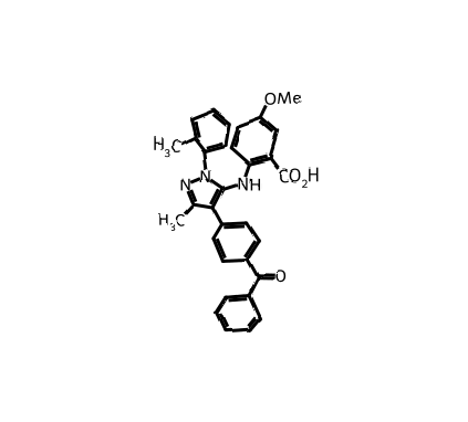 COc1ccc(Nc2c(-c3ccc(C(=O)c4ccccc4)cc3)c(C)nn2-c2ccccc2C)c(C(=O)O)c1